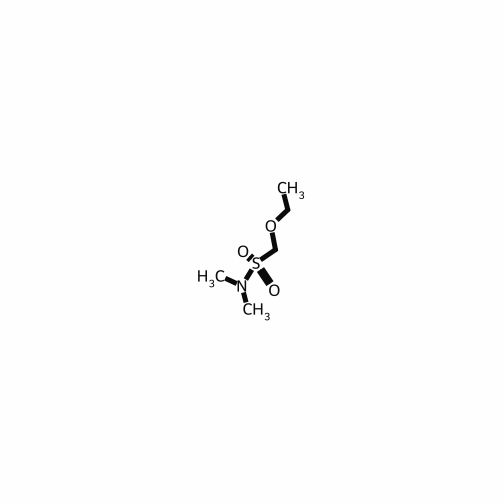 CCOCS(=O)(=O)N(C)C